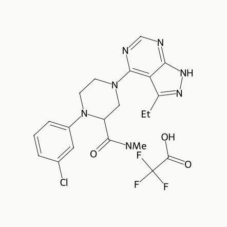 CCc1n[nH]c2ncnc(N3CCN(c4cccc(Cl)c4)C(C(=O)NC)C3)c12.O=C(O)C(F)(F)F